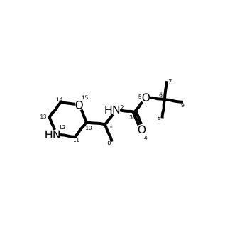 CC(NC(=O)OC(C)(C)C)C1CNCCO1